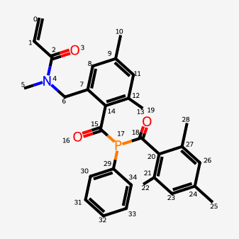 C=CC(=O)N(C)Cc1cc(C)cc(C)c1C(=O)P(C(=O)c1c(C)cc(C)cc1C)c1ccccc1